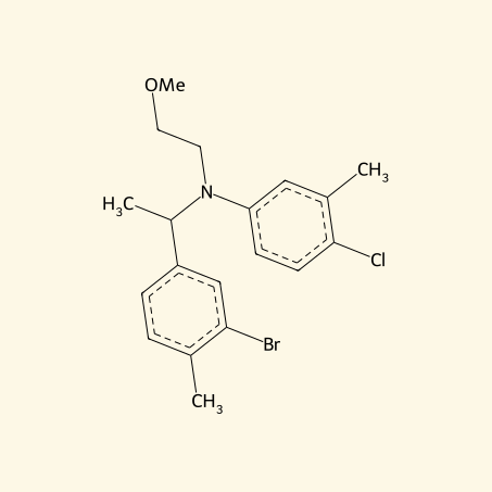 COCCN(c1ccc(Cl)c(C)c1)C(C)c1ccc(C)c(Br)c1